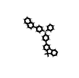 CC1(C)c2ccccc2-c2cc(-c3ccc(N(c4ccccc4)c4ccc(-c5ccc6ccccc6c5)cc4)cc3)ccc21